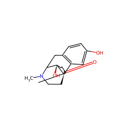 CN1CC[C@]23CC(=O)CC[C@@]2(O)C1Cc1ccc(O)cc13